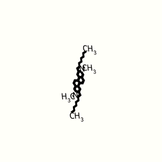 CCCCCCCc1cc2cc3c(ccc4c5cc6cc(CCCCCCC)n(C)c6cc5ccc34)cc2n1C